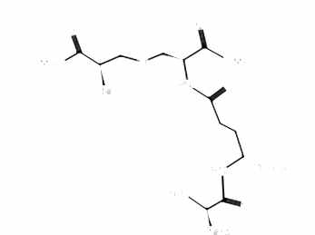 COC(=O)[C@H](N)COC[C@H](NC(=O)CC[C@@H](NC(=O)[C@H](C)NC(C)=O)C(=O)O)C(=O)OC